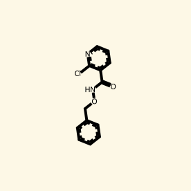 O=C(NOCc1ccccc1)c1cccnc1Cl